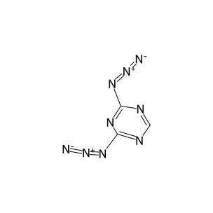 [N-]=[N+]=Nc1ncnc(N=[N+]=[N-])n1